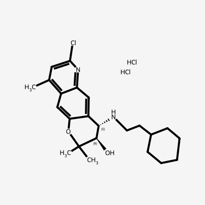 Cc1cc(Cl)nc2cc3c(cc12)OC(C)(C)[C@H](O)[C@H]3NCCC1CCCCC1.Cl.Cl